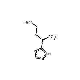 CCCCCCCCCC(C(=O)O)c1ccc[nH]1